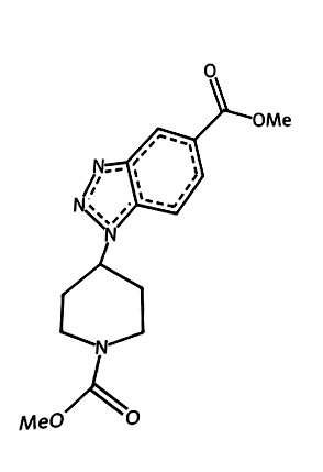 COC(=O)c1ccc2c(c1)nnn2C1CCN(C(=O)OC)CC1